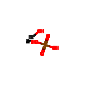 CCO.O=S(=O)(O)O.[Zr]